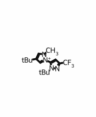 Cn1cc(C(C)(C)C)c[n+]1-c1cc(C(F)(F)F)nn1C(C)(C)C